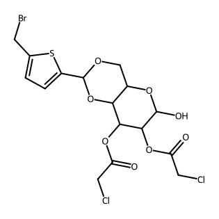 O=C(CCl)OC1C(O)OC2COC(c3ccc(CBr)s3)OC2C1OC(=O)CCl